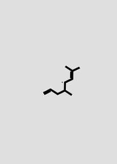 C=CCC(C)[CH]C=C(C)C